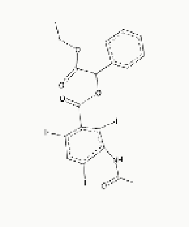 CCOC(=O)C(OC(=O)c1c(I)cc(I)c(NC(C)=O)c1I)c1ccccc1